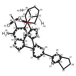 Cc1nnc(C(=O)N2[C@@H]3CC[C@H]2C[C@@H](c2nc4c(-c5ccc(-c6nc7c(s6)CCC7)nc5)cnn4c(N)c2S(C)(=O)=O)C3)[nH]1